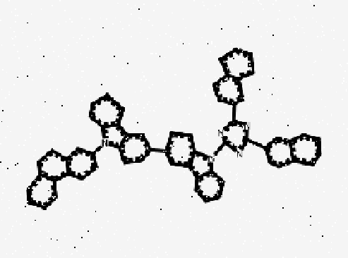 c1ccc2cc(-c3nc(-c4ccc5ccccc5c4)nc(-n4c5ccccc5c5cc(-c6ccc7c(c6)c6ccccc6n7-c6ccc7c(ccc8ccccc87)c6)ccc54)n3)ccc2c1